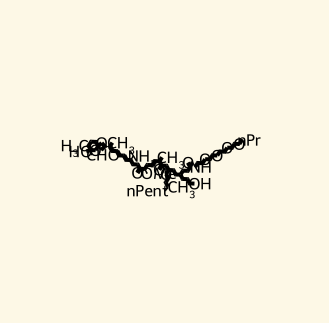 CCCCC[C@H](C)CCOC(CCC(CCCO)CCC(=O)NCCOCCOCCOCCOCCC)CC(=O)C(C)/C=C/C[C@@H](OC)C(=O)CC[C@H](N)/C=C/C=C/C=C(\C)[C@@H]1C[C@@]2(CC[C@@H](C)[C@](O)(C=O)O2)O1